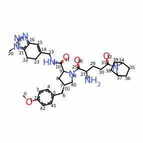 COc1ccc(C[C@H]2CC(C(=O)NCC3=Cc4nnn(C)c4CC3)N(C(=O)C(N)CCC(=O)N3C4CCC3CC4)C2)cc1